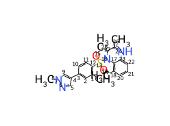 Cc1cc(-c2cnn(C)c2)ccc1S(=O)(=O)N1c2c(C)cccc2NC(C)C1C